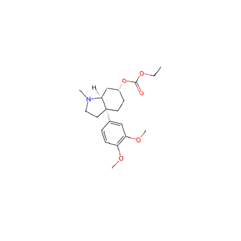 CCOC(=O)O[C@@H]1CC[C@@]2(c3ccc(OC)c(OC)c3)CCN(C)[C@H]2C1